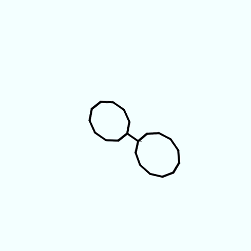 C1CCCCC[C](C2CCCCCCCCC2)CCCC1